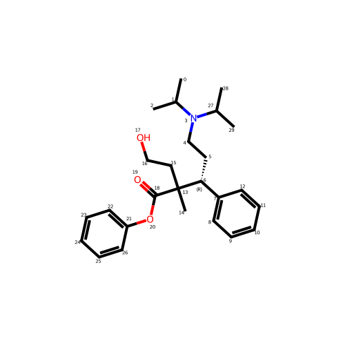 CC(C)N(CC[C@H](c1ccccc1)C(C)(CCO)C(=O)Oc1ccccc1)C(C)C